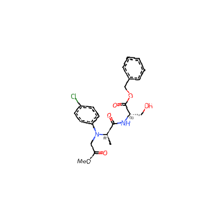 COC(=O)CN(c1ccc(Cl)cc1)[C@H](C)C(=O)N[C@@H](CO)C(=O)OCc1ccccc1